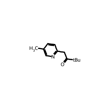 Cc1ccc(CC(=O)C(C)(C)C)nc1